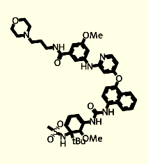 COc1cc(Nc2cc(Oc3ccc(NC(=O)NC4=CC=CC(NS(C)(=O)=O)(C(C)(C)C)C4OC)c4ccccc34)ccn2)cc(C(=O)NCCCN2CCOCC2)c1